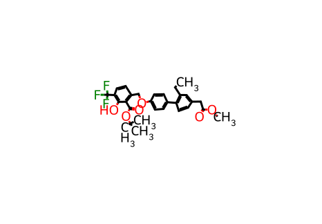 CCc1cc(CC(=O)OC)ccc1-c1ccc(OCc2ccc(C(F)(F)F)c(O)c2C(=O)OC(C)(C)C)cc1